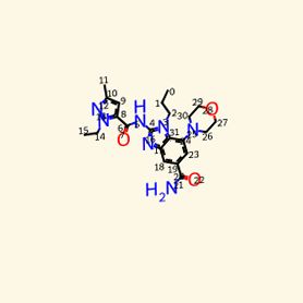 CCCn1c(NC(=O)c2cc(C)nn2CC)nc2cc(C(N)=O)cc(N3CCOCC3)c21